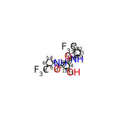 O=C(Nc1cccc(C(F)(F)F)c1)c1cc(O)cc(C(=O)Nc2cccc(C(F)(F)F)c2)c1